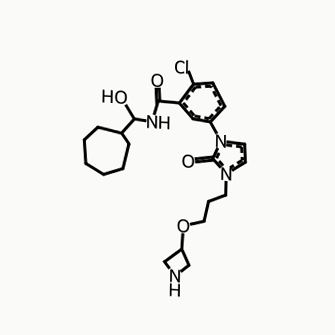 O=C(NC(O)C1CCCCCC1)c1cc(-n2ccn(CCCOC3CNC3)c2=O)ccc1Cl